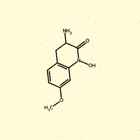 COc1ccc2c(c1)N(O)C(=O)C(N)C2